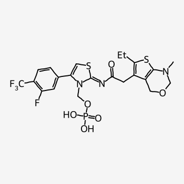 CCc1sc2c(c1CC(=O)/N=c1\scc(-c3ccc(C(F)(F)F)c(F)c3)n1COP(=O)(O)O)COCN2C